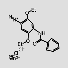 CCOc1cc(NC(=O)c2ccccc2)c(OCC)cc1[N+]#N.[Cl-].[Cl-].[Cl-].[Zn+2]